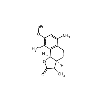 CCCOc1cc(C)c2c(c1C)[C@@H]1OC(=O)C(C)[C@@H]1CC2